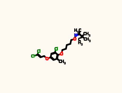 CC(=NOCCCCCOc1c(C)cc(OCC=C(Cl)Cl)cc1Cl)C(C)(C)C